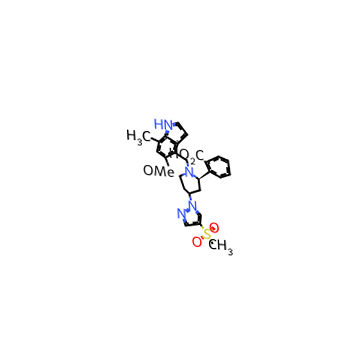 COc1cc(C)c2[nH]ccc2c1CN1CCC(n2cc(S(C)(=O)=O)cn2)C[C@@H]1c1ccccc1C(=O)O